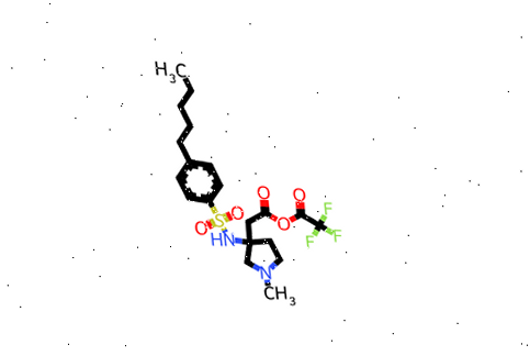 CCCCCc1ccc(S(=O)(=O)NC2(CC(=O)OC(=O)C(F)(F)F)CCN(C)C2)cc1